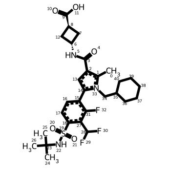 Cc1c(C(=O)N[C@H]2C[C@H](C(=O)O)C2)cc(-c2ccc(S(=O)(=O)NC(C)(C)C)c(C(F)F)c2F)n1CC1CCCCC1